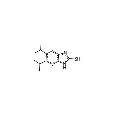 CC(C)c1cc2nc(S)[nH]c2nc1C(C)C